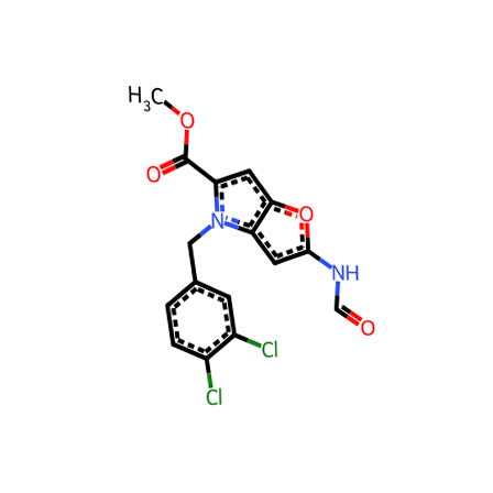 COC(=O)c1cc2oc(NC=O)cc2n1Cc1ccc(Cl)c(Cl)c1